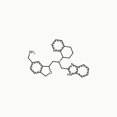 NCc1ccc2c(c1)C(CN(Cc1nc3ccccc3[nH]1)C1CCCc3cccnc31)OC2